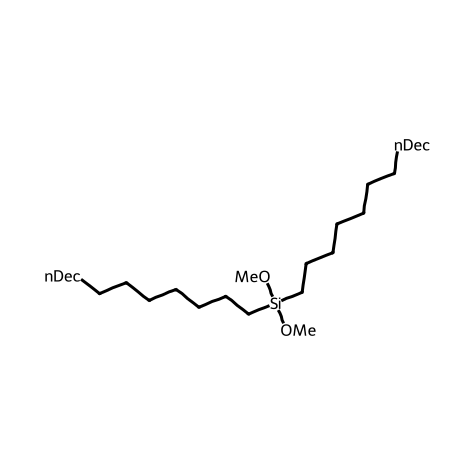 CCCCCCCCCCCCCCCCC[Si](CCCCCCCCCCCCCCCCC)(OC)OC